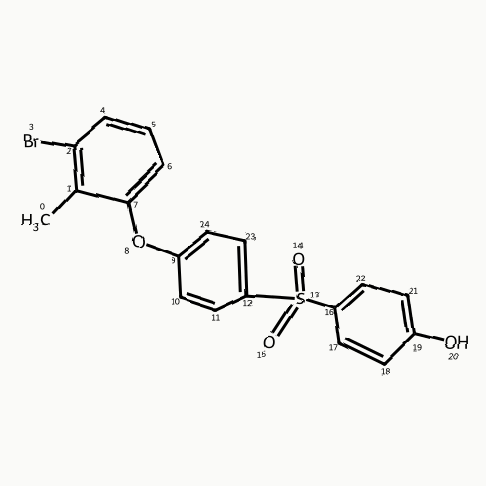 Cc1c(Br)cccc1Oc1ccc(S(=O)(=O)c2ccc(O)cc2)cc1